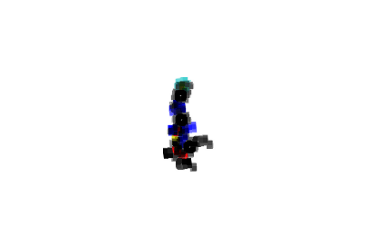 CCOC(C)c1ccc(C)cc1N1C(=O)CSC1=NC(=O)Nc1ccc(-c2ncn(-c3ccc(S(F)(F)(F)(F)F)cc3)n2)cc1C#N